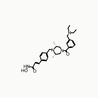 CCN(CC)Cc1cccc(C(=O)N2C[C@@H](C)N(Cc3ccc(/C=C/C(=O)NO)cc3)[C@@H](C)C2)c1